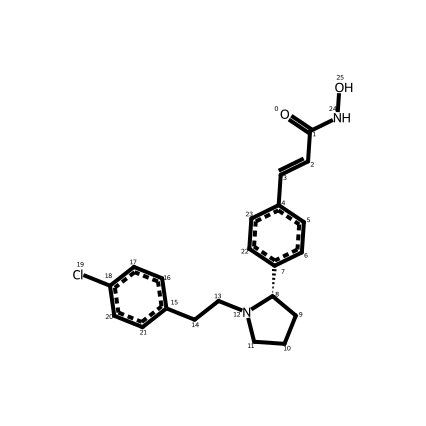 O=C(C=Cc1ccc([C@@H]2CCCN2CCc2ccc(Cl)cc2)cc1)NO